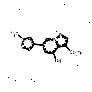 CCOC(=O)c1cnn2cc(-c3cnn(C)c3)cc(O)c12